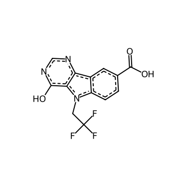 O=C(O)c1ccc2c(c1)c1ncnc(O)c1n2CC(F)(F)F